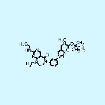 CCNc1ncc2c(n1)N(C)CCN(c1cccc(-n3cc(CN(C)C(=O)OC(C)(C)C)nn3)c1)C2=O